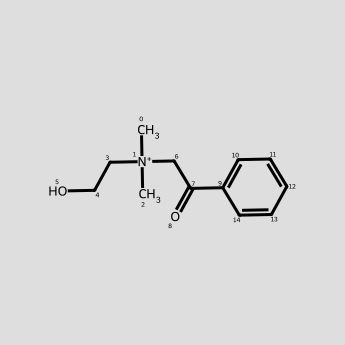 C[N+](C)(CCO)CC(=O)c1ccccc1